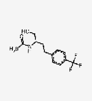 BC(=O)N[C@@H](CO)CCc1ccc(C(F)(F)F)cc1